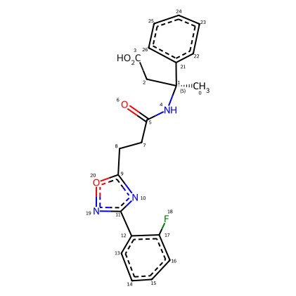 C[C@@](CC(=O)O)(NC(=O)CCc1nc(-c2ccccc2F)no1)c1ccccc1